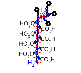 NC(=O)CN(CCC(=O)O)C(=O)CN(CCC(=O)O)C(=O)CN(CCC(=O)O)C(=O)CN(CCC(=O)O)C(=O)CN(CCC(=O)O)C(=O)CN(CCC(=O)O)C(=O)CN(CCC(=O)O)C(=O)CN(CCC(=O)O)C(=O)CN(CCc1ccccc1)C(=O)CN(CCc1ccccc1)C(=O)CN(CCc1ccccc1)C(=O)CNCCc1ccccc1